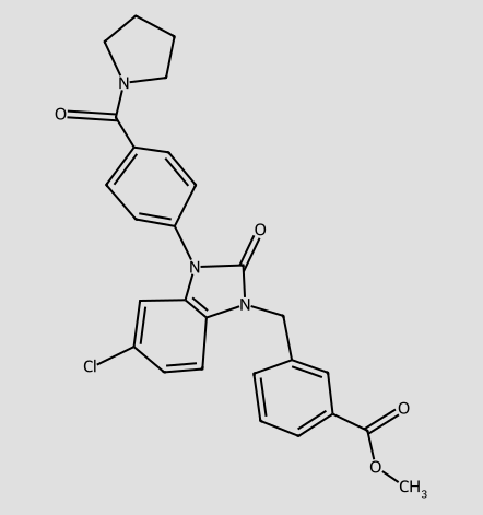 COC(=O)c1cccc(Cn2c(=O)n(-c3ccc(C(=O)N4CCCC4)cc3)c3cc(Cl)ccc32)c1